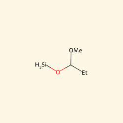 CCC(OC)O[SiH3]